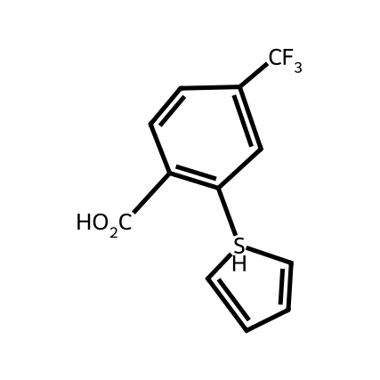 O=C(O)c1ccc(C(F)(F)F)cc1[SH]1C=CC=C1